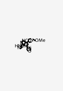 COCCN1CCC(C#N)(C2=C3C=CN=C(c4ccn[nH]4)C3(C)NC(N3CCOC[C@H]3C)=C2)CC1